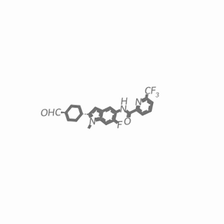 Cn1c2cc(F)c(NC(=O)c3cccc(C(F)(F)F)n3)cc2cc1[C@H]1CC[C@H](C=O)CC1